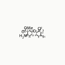 COC(=O)c1cc(Oc2ccc(I)cc2C(F)(F)F)ccc1N